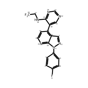 Fc1ccc(-n2ncc3c(-c4cncnc4NCC(F)(F)F)ccnc32)cc1